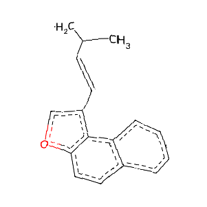 [CH2]C(C)C=Cc1coc2ccc3ccccc3c12